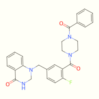 O=C1NCN(Cc2ccc(F)c(C(=O)N3CCN(C(=O)c4ccccc4)CC3)c2)c2ccccc21